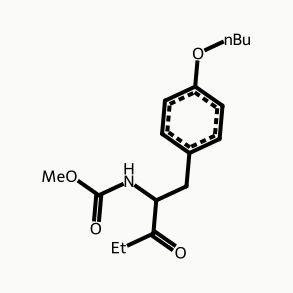 CCCCOc1ccc(CC(NC(=O)OC)C(=O)CC)cc1